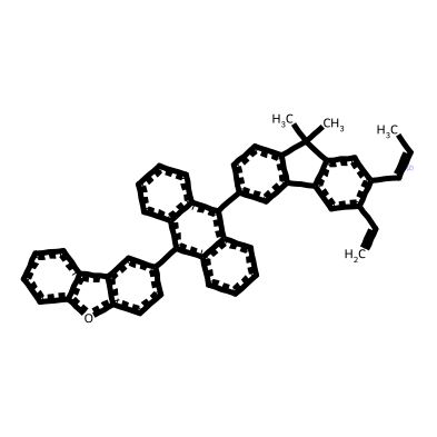 C=Cc1cc2c(cc1/C=C\C)C(C)(C)c1ccc(-c3c4ccccc4c(-c4ccc5oc6ccccc6c5c4)c4ccccc34)cc1-2